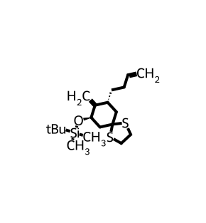 C=CCC[C@@H]1CC2(C[C@@H](O[Si](C)(C)C(C)(C)C)C1=C)SCCS2